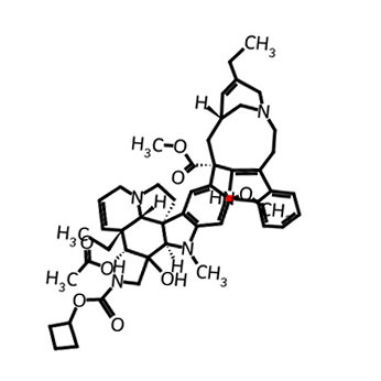 CCC1=C[C@@H]2CN(CCc3c([nH]c4ccccc34)[C@@](C(=O)OC)(c3cc4c(cc3OC)N(C)[C@H]3C(O)(CNC(=O)OC5CCC5)[C@H](OC(C)=O)[C@]5(CC)C=CCN6CC[C@]43[C@@H]65)C2)C1